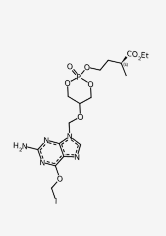 CCOC(=O)[C@@H](C)CCOP1(=O)OCC(OCn2cnc3c(OCI)nc(N)nc32)CO1